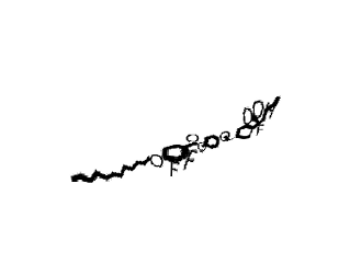 CCCCCCCCCCCCOc1ccc(C(=O)Oc2ccc(OC[C@H]3CC[C@H]([C@@](F)(CCCC)C(=O)O)CC3)cc2)c(F)c1F